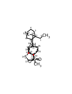 CCC12CCN(CC1NCC1CCCS1)CC2c1ccc(S(C)(=O)=O)cc1